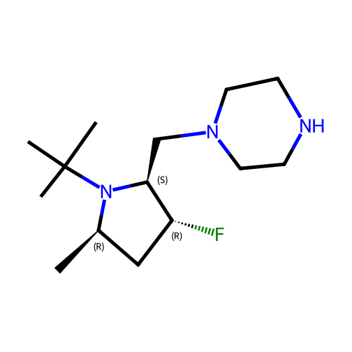 C[C@@H]1C[C@@H](F)[C@H](CN2CCNCC2)N1C(C)(C)C